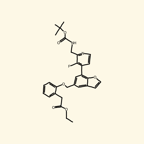 CCOC(=O)Cc1ccccc1OCc1cc(-c2ccnc(CNC(=O)OC(C)(C)C)c2F)c2occc2c1